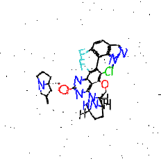 C=C1CN2CCC[C@@]2(COc2nc3c4c(c(Cl)c(-c5c(F)ccc6cnn(C)c56)c(F)c4n2)OC[C@@H]2[C@@H]4CC[C@H](CN32)N4)C1